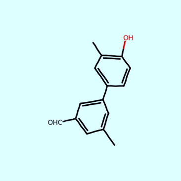 Cc1cc(C=O)cc(-c2ccc(O)c(C)c2)c1